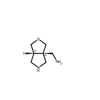 NC[C@@]12CNC[C@@H]1COC2